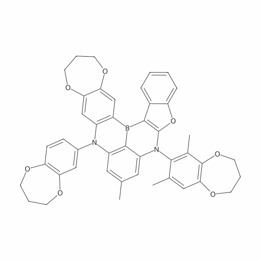 Cc1cc2c3c(c1)N(c1c(C)cc4c(c1C)OCCCO4)c1oc4ccccc4c1B3c1cc3c(cc1N2c1ccc2c(c1)OCCCO2)OCCCO3